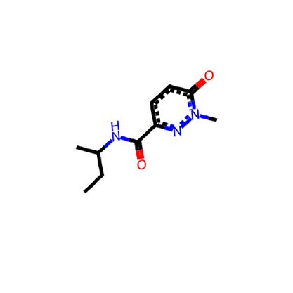 CCC(C)NC(=O)c1ccc(=O)n(C)n1